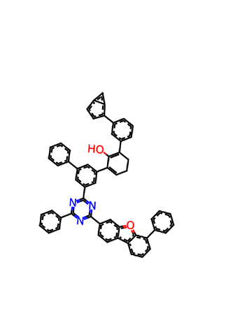 OC1=C(c2cccc(-c3ccc4cc3-4)c2)CCC=C1c1cc(-c2ccccc2)cc(-c2nc(-c3ccccc3)nc(-c3ccc4c(c3)oc3c(-c5ccccc5)cccc34)n2)c1